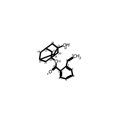 C=Cc1ccccc1C(=O)OC12CC3CC(CC(O)(C3)C1)C2